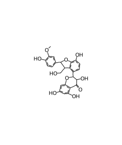 COc1cc(C2Oc3c(O)ccc(C4Oc5cc(O)cc(O)c5C(=O)C4O)c3C2CO)ccc1O